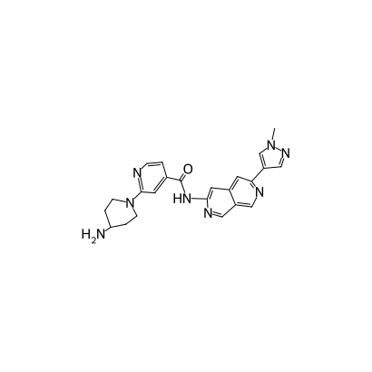 Cn1cc(-c2cc3cc(NC(=O)c4ccnc(N5CCC(N)CC5)c4)ncc3cn2)cn1